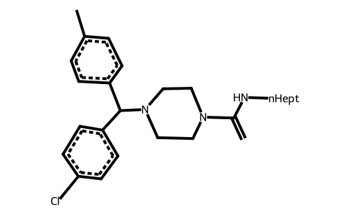 C=C(NCCCCCCC)N1CCN(C(c2ccc(C)cc2)c2ccc(Cl)cc2)CC1